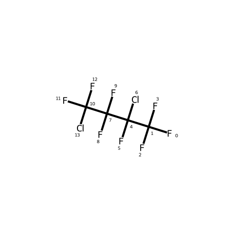 FC(F)(F)C(F)(Cl)C(F)(F)C(F)(F)Cl